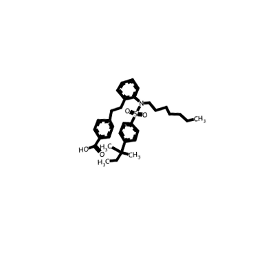 CCCCCCCN(c1ccccc1CCc1ccc(C(=O)O)cc1)S(=O)(=O)c1ccc(C(C)(C)CC)cc1